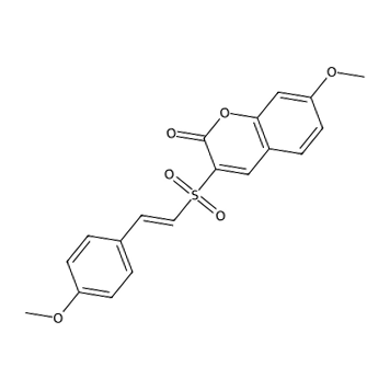 COc1ccc(C=CS(=O)(=O)c2cc3ccc(OC)cc3oc2=O)cc1